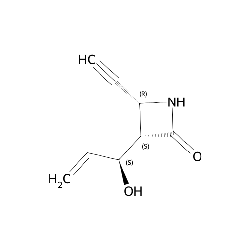 C#C[C@@H]1NC(=O)[C@@H]1[C@@H](O)C=C